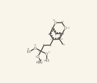 CCCCOC(CCc1cc2cc(c1C)OCO2)(OCC)OCC